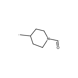 [CH]C1CCN([C]=O)CC1